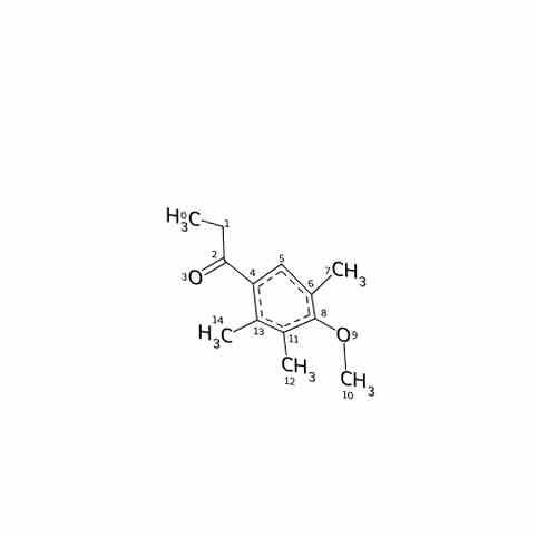 CCC(=O)c1cc(C)c(OC)c(C)c1C